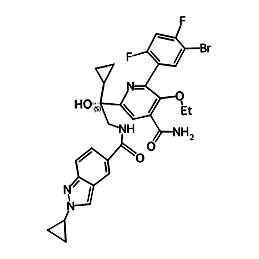 CCOc1c(C(N)=O)cc([C@@](O)(CNC(=O)c2ccc3nn(C4CC4)cc3c2)C2CC2)nc1-c1cc(Br)c(F)cc1F